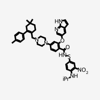 Cc1ccc(C2=C(CN3CCN(c4ccc(C(=O)NSc5ccc(NC(C)C)c([N+](=O)[O-])c5)c(Oc5cnc6[nH]ccc6c5)c4)CC3)CCC(C)(C)C2)cc1